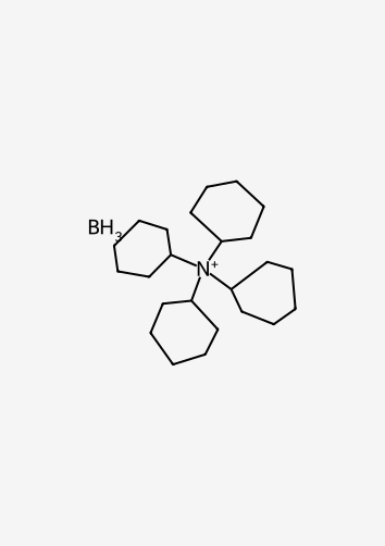 B.C1CCC([N+](C2CCCCC2)(C2CCCCC2)C2CCCCC2)CC1